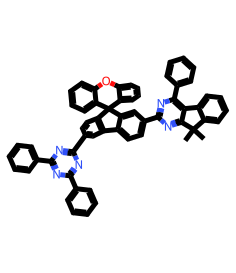 CC1(C)c2ccccc2-c2c(-c3ccccc3)nc(-c3ccc4c(c3)C3(c5ccccc5Oc5ccccc53)c3ccc(-c5nc(-c6ccccc6)nc(-c6ccccc6)n5)cc3-4)nc21